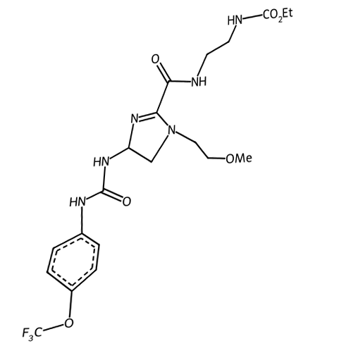 CCOC(=O)NCCNC(=O)C1=NC(NC(=O)Nc2ccc(OC(F)(F)F)cc2)CN1CCOC